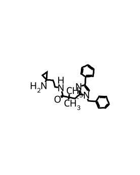 CC(C)([CH]c1nc(-c2ccccc2)cn1Cc1ccccc1)C(=O)NCCC1(N)CC1